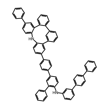 c1ccc(-c2ccc(-c3cccc(Nc4ccc(-c5ccc(-c6ccc7c(c6)-c6cccc(c6)-c6ccccc6-c6cc(-c8ccccc8)ccc6N7)cc5)cc4-c4ccccc4)c3)cc2)cc1